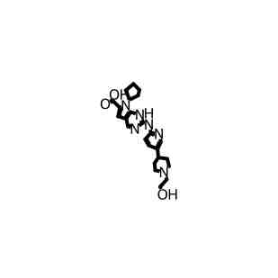 O=C(O)c1cc2cnc(Nc3ccc(C4CCN(CCO)CC4)cn3)nc2n1C1CCCC1